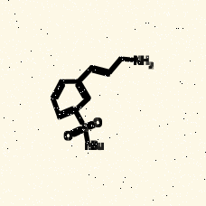 CCCCS(=O)(=O)c1cccc(C=CCN)c1